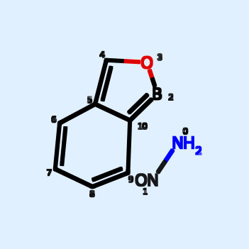 NN=O.b1occ2ccccc12